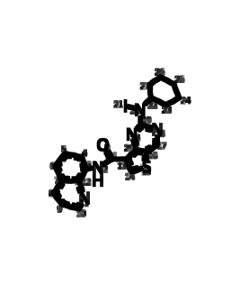 O=C(Nc1cccc2cccnc12)c1csc2cnc(N(I)C3CCCCC3)nc12